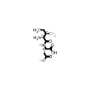 CC[C@@H](C)[C@@H](N)C(=O)N[C@@H](CC(=O)O)C(=O)O